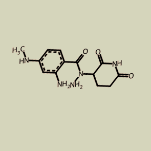 CNc1ccc(C(=O)N(N)C2CCC(=O)NC2=O)c(N)c1